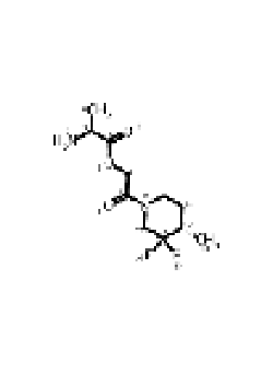 C[C@H](N)C(=O)OCC(=O)N1CC[C@H](C)C(F)(F)C1